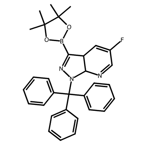 CC1(C)OB(C2=NN(C(c3ccccc3)(c3ccccc3)c3ccccc3)C3N=CC(F)=CC23)OC1(C)C